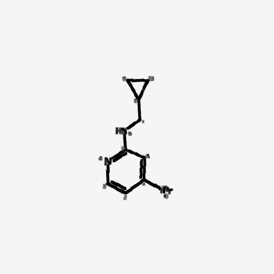 CC(C)c1ccnc(NCC2CC2)c1